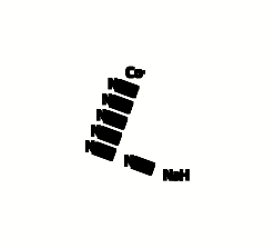 C#N.C#N.C#N.C#N.C#N.C#N.[Co].[NaH]